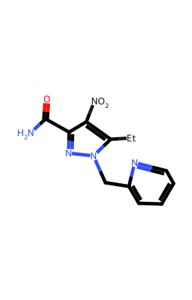 CCc1c([N+](=O)[O-])c(C(N)=O)nn1Cc1ccccn1